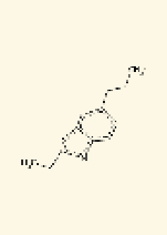 [CH2]CCc1ccc2nc(CC)sc2c1